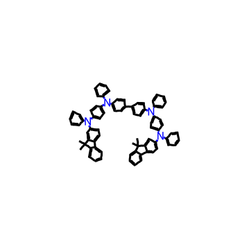 CC1(C)c2ccccc2-c2ccc(N(c3ccccc3)c3ccc(N(c4ccccc4)c4ccc(-c5ccc(N(c6ccccc6)c6ccc(N(c7ccccc7)c7ccc8c(c7)C(C)(C)c7ccccc7-8)cc6)cc5)cc4)cc3)cc21